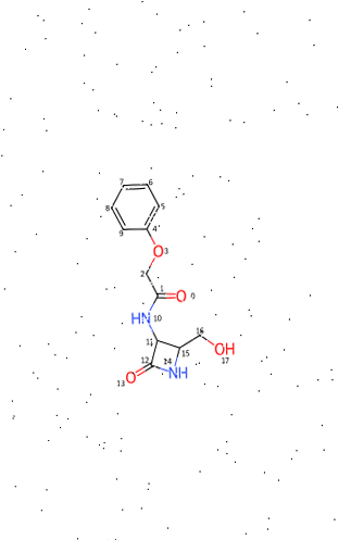 O=C(COc1ccccc1)NC1C(=O)NC1CO